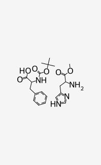 CC(C)(C)OC(=O)NC(Cc1ccccc1)C(=O)O.COC(=O)C(N)Cc1c[nH]cn1